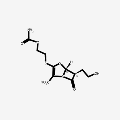 NC(=O)OCCSC1=C(C(=O)O)N2C(=O)[C@H](CCO)[C@H]2S1